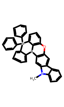 Cn1c2ccccc2c2cc3c(cc21)B1c2ccccc2[Si](c2ccccc2)(c2ccccc2)c2cccc(c21)O3